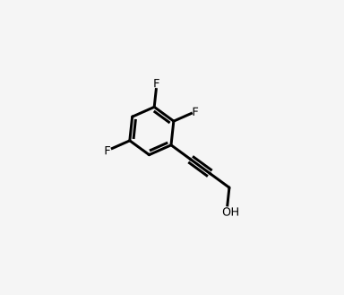 OCC#Cc1cc(F)cc(F)c1F